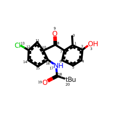 Cc1c(O)cccc1C(=O)c1cc(Cl)ccc1NC(=O)C(C)(C)C